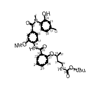 COc1cc(C(=O)N(C)c2ccc(C)cc2O)ccc1NC(=O)c1ccccc1OC(C)CCNC(=O)OC(C)(C)C